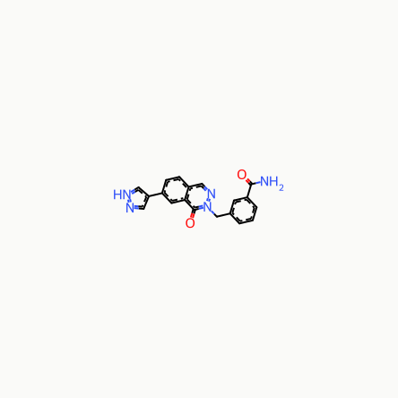 NC(=O)c1cccc(Cn2ncc3ccc(-c4cn[nH]c4)cc3c2=O)c1